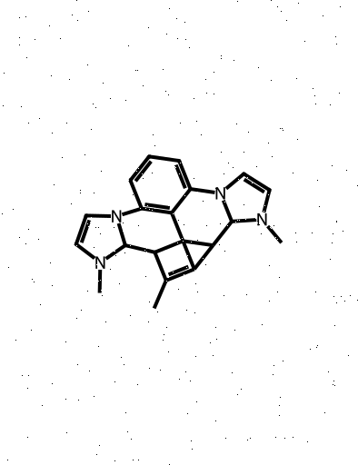 CC1=C2C3C4N(C)C=CN4c4cccc5c4C23C1C1N(C)C=CN51